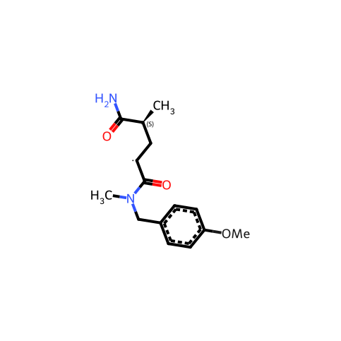 COc1ccc(CN(C)C(=O)[CH]C[C@H](C)C(N)=O)cc1